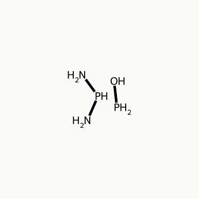 NPN.OP